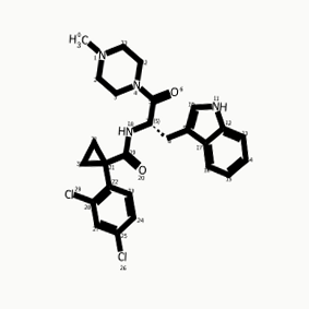 CN1CCN(C(=O)[C@H](Cc2c[nH]c3ccccc23)NC(=O)C2(c3ccc(Cl)cc3Cl)CC2)CC1